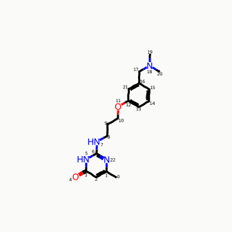 Cc1cc(=O)[nH]c(NCCCOc2cccc(CN(C)C)c2)n1